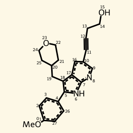 COc1ccc(-c2[nH]c3ncc(C#CCCO)cc3c2CC2CCOCC2)cc1